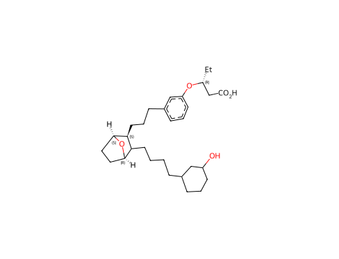 CC[C@H](CC(=O)O)Oc1cccc(CCC[C@H]2C(CCCCC3CCCC(O)C3)[C@H]3CC[C@@H]2O3)c1